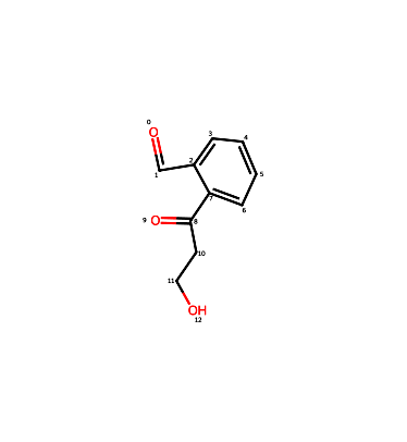 O=Cc1ccccc1C(=O)CCO